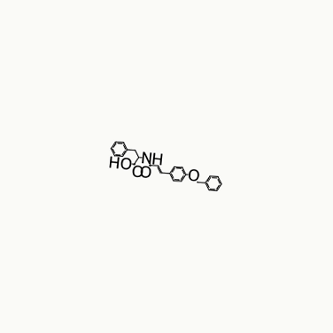 O=C(C=Cc1ccc(OCc2ccccc2)cc1)NC(Cc1ccccc1)C(=O)O